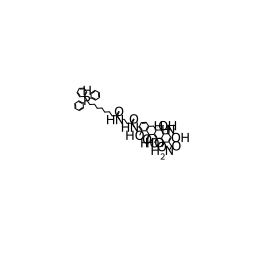 C[C@H]1c2ccc(NC(=O)CCNC(=O)CCCCCCC[PH](c3ccccc3)(c3ccccc3)c3ccccc3)c(O)c2C(=O)C2=C(O)[C@]3(O)C(=O)C(C(N)=O)=C(O)[C@@H](N(C)C)[C@@H]3[C@@H](O)[C@@H]21